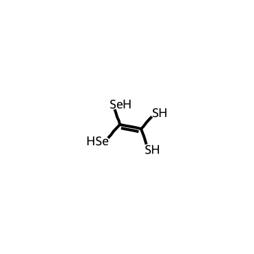 SC(S)=C([SeH])[SeH]